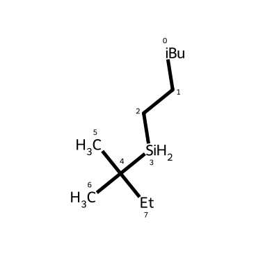 CCC(C)CC[SiH2]C(C)(C)CC